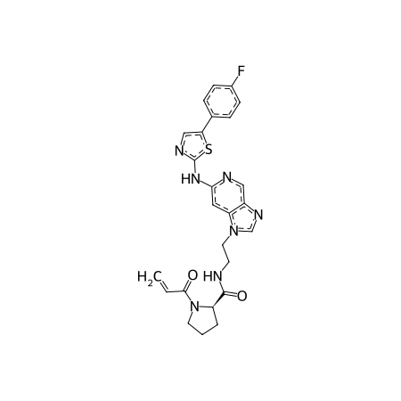 C=CC(=O)N1CCC[C@@H]1C(=O)NCCn1cnc2cnc(Nc3ncc(-c4ccc(F)cc4)s3)cc21